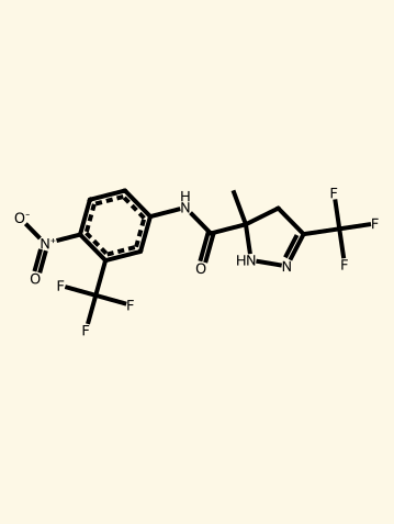 CC1(C(=O)Nc2ccc([N+](=O)[O-])c(C(F)(F)F)c2)CC(C(F)(F)F)=NN1